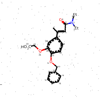 CCN(CC)C(=O)/C=C(\C)c1ccc(OCc2ccccc2)c(OCC(=O)O)c1